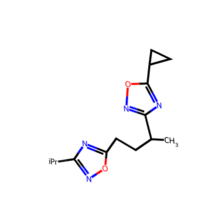 CC(C)c1noc(CCC(C)c2noc(C3CC3)n2)n1